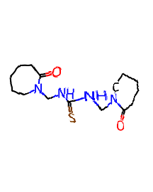 O=C1CCCCCN1CNC(=S)NCN1CCCCCC1=O